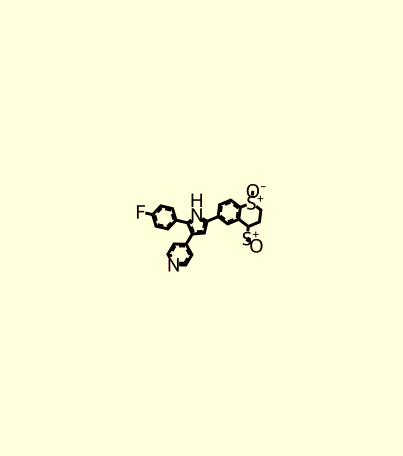 O=[S+]C1CC[S+]([O-])c2ccc(-c3cc(-c4ccncc4)c(-c4ccc(F)cc4)[nH]3)cc21